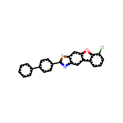 Clc1cccc2c1oc1cc3sc(-c4ccc(-c5ccccc5)cc4)nc3cc12